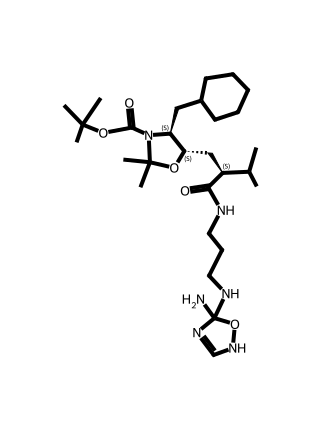 CC(C)[C@H](C[C@@H]1OC(C)(C)N(C(=O)OC(C)(C)C)[C@H]1CC1CCCCC1)C(=O)NCCCNC1(N)N=CNO1